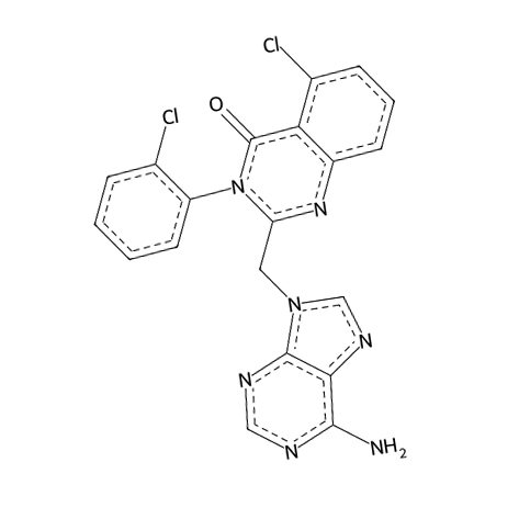 Nc1ncnc2c1ncn2Cc1nc2cccc(Cl)c2c(=O)n1-c1ccccc1Cl